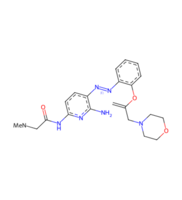 C=C(CN1CCOCC1)Oc1ccccc1/N=N/c1ccc(NC(=O)CNC)nc1N